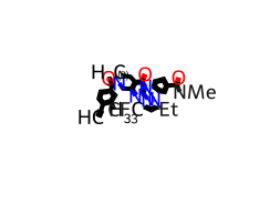 C#Cc1ccc(C(=O)N2Cc3nc(-n4nc(CC)cc4C)n(-c4ccc(C(=O)NC)cc4)c(=O)c3C[C@H]2C)cc1C(F)(F)F